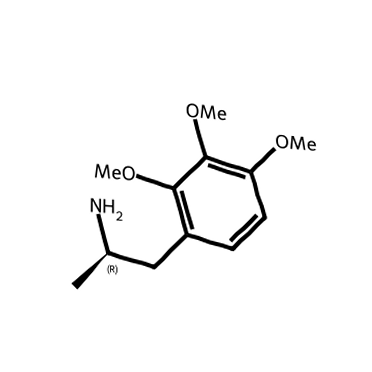 COc1ccc(C[C@@H](C)N)c(OC)c1OC